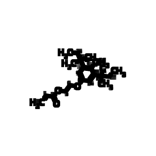 C=CC(=O)OCCOc1cc(C(C)(C)CC)c(O)c(C(C)(C)CC)c1